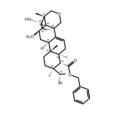 CC(=O)O[C@@H]1C[C@@]23COC[C@](C)([C@@H]2CC[C@H]2C3=CC[C@@]3(C)[C@H](C(=O)OCc4ccccc4)[C@@](C)([C@H](C)C(C)C)CC[C@]23C)[C@H]1O